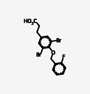 O=C(O)CCc1cc(Br)c(OCc2ccccc2F)c(Br)c1